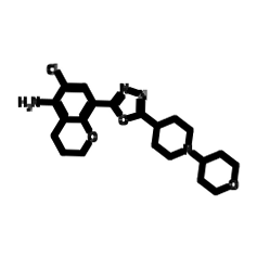 Nc1c(Cl)cc(-c2nnc(C3CCN(C4CCOCC4)CC3)o2)c2c1CCCO2